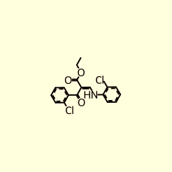 CCOC(=O)/C(=C/Nc1ccccc1Cl)C(=O)c1ccccc1Cl